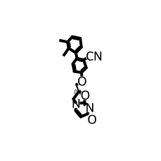 Cc1cccc(-c2ccc(OC[C@@H]3Cn4ccc(=O)nc4O3)cc2C#N)c1C